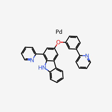 [Pd].c1ccc(-c2cccc(Oc3cc(-c4ccccn4)c4[nH]c5ccccc5c4c3)c2)nc1